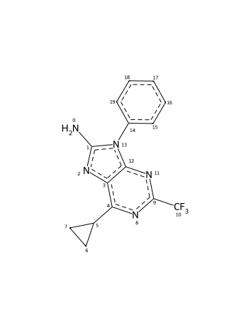 Nc1nc2c(C3CC3)nc(C(F)(F)F)nc2n1-c1ccccc1